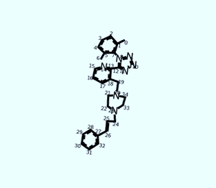 Cc1cccc(C)c1-n1nnnc1-c1ncccc1CN1CCN(CC=Cc2ccccc2)CC1